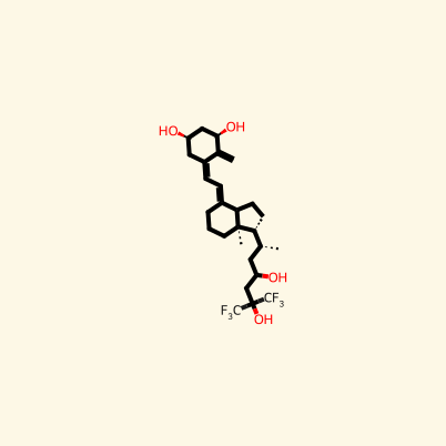 C=C1/C(=C\C=C2CCC[C@@]3(C)C2CC[C@@H]3[C@H](C)CC(O)CC(O)(C(F)(F)F)C(F)(F)F)C[C@@H](O)C[C@H]1O